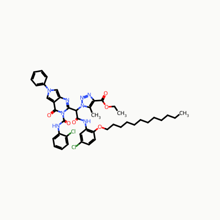 CCCCCCCCCCCCOc1ccc(Cl)cc1NC(=O)C(c1nc2cn(-c3ccccc3)cc2c(=O)n1C(=O)Nc1ccccc1Cl)n1nnc(C(=O)OCC)c1C